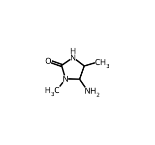 CC1NC(=O)N(C)C1N